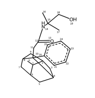 CC1C2CC3CC1CC(C2)C3(CC(=O)NC(C)(C)CO)c1ccccc1